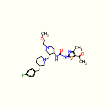 COCCN1CC[C@@H](NC(=O)Nc2nc(C)c(C(C)=O)s2)[C@H](CN2CCC[C@@H](Cc3ccc(F)cc3)C2)C1